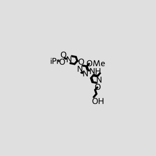 COc1c(Nc2ccc(OCCCO)nc2C)ncnc1OC1CCN(C(=O)OC(C)C)CC1